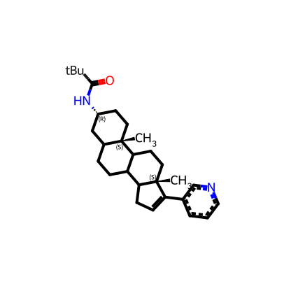 CC(C)(C)C(=O)N[C@@H]1CC[C@@]2(C)C(CCC3C2CC[C@]2(C)C(c4cccnc4)=CCC32)C1